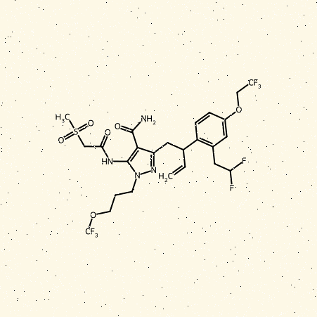 C=CC(Cc1nn(CCCOC(F)(F)F)c(NC(=O)CS(C)(=O)=O)c1C(N)=O)c1ccc(OCC(F)(F)F)cc1CC(F)F